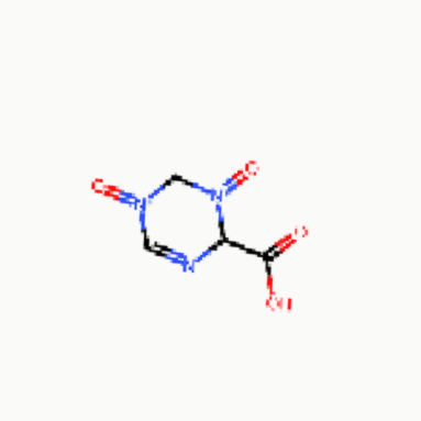 O=C(O)C1N=C[N+](=O)C[N+]1=O